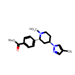 COC(=O)c1ccc([C@H]2C[C@H](n3cc(C#N)cn3)CCN2C(=O)O)cc1